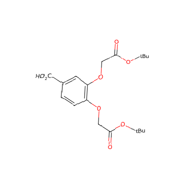 CC(C)(C)OC(=O)COc1ccc(C(=O)O)cc1OCC(=O)OC(C)(C)C